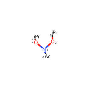 CC(=O)N(OC(C)C)OC(C)C